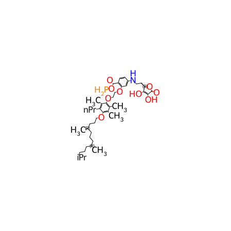 CCCc1c(C)c(OCCOc2cc(NCC[C@H]3OC(=O)C(O)=C3O)ccc2C(=O)OP)c(C)c(C)c1OCCC[C@H](C)CCC[C@H](C)CCCC(C)C